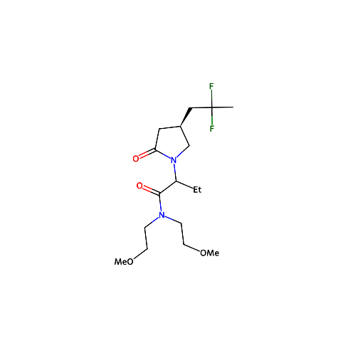 CCC(C(=O)N(CCOC)CCOC)N1C[C@H](CC(C)(F)F)CC1=O